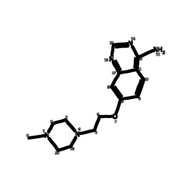 CN1CCN(CCOc2ccc3c(N)ncnc3c2)CC1